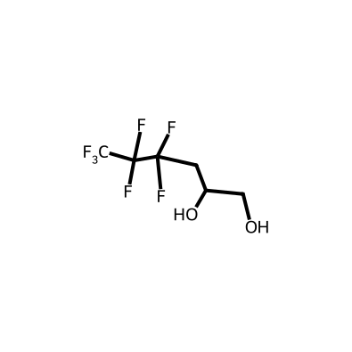 OCC(O)CC(F)(F)C(F)(F)C(F)(F)F